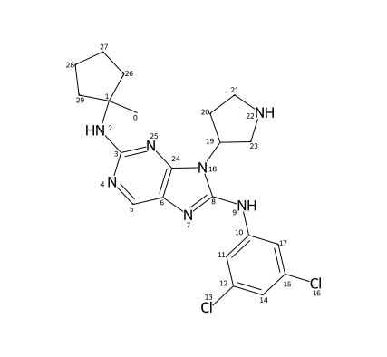 CC1(Nc2ncc3nc(Nc4cc(Cl)cc(Cl)c4)n(C4CCNC4)c3n2)CCCC1